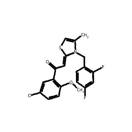 COc1ccc(Cl)cc1C(=O)C=C1SC=C(C)N1Cc1ccc(F)cc1F